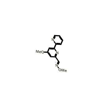 CO/N=C/c1cc(OC)cc(-c2ccccn2)n1